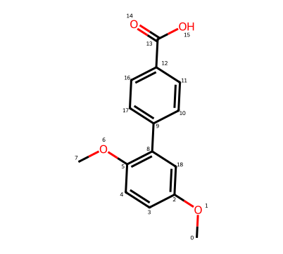 COc1ccc(OC)c(-c2ccc(C(=O)O)cc2)c1